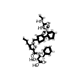 CCCc1cc(C(=O)N[C@H](Cc2ccccc2)[C@@H](O)C(=O)O)nn1Cc1ccc(-c2ccccc2S(=O)(=O)NC(=O)NCC)cc1